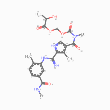 CCNC(=O)c1ccc(C)c(NC(=N)c2[nH]cc(C(=O)N(CC)C(=O)OCOC(=O)C(C)O)c2C)c1